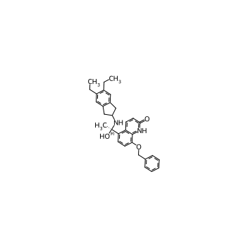 CCc1cc2c(cc1CC)CC(N[C@](C)(O)c1ccc(OCc3ccccc3)c3[nH]c(=O)ccc13)C2